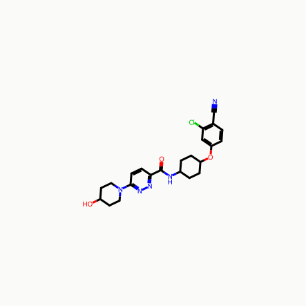 N#Cc1ccc(OC2CCC(NC(=O)c3ccc(N4CCC(O)CC4)nn3)CC2)cc1Cl